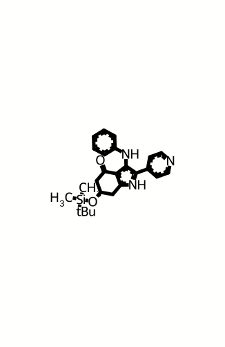 CC(C)(C)[Si](C)(C)OC1CC(=O)c2c([nH]c(-c3ccncc3)c2Nc2ccccc2)C1